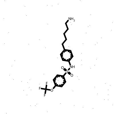 NCCCCCc1ccc(NS(=O)(=O)c2ccc(OC(F)(F)F)cc2)cc1